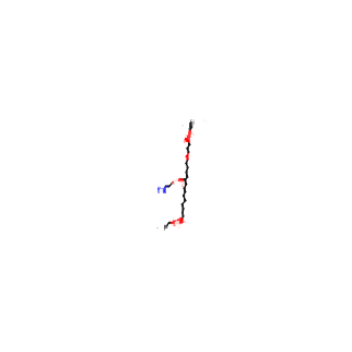 CCCCC(CCCC)CCOC(=O)CCCCCCCCCC(CCCCCCCCCC(=O)OCCC(CCCC)CCCC)COCCCN(C)CC